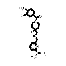 Cc1ccc(C(=O)N2CCC(F)(CNCc3cccc(N(C)C)n3)CC2)cc1Cl